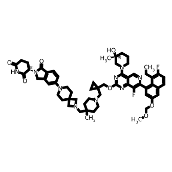 CCc1c(F)ccc2cc(OCOC)cc(-c3ncc4c(N5CCC[C@@](C)(O)C5)nc(OCC5(CN6CCC(C)(CN7CC8(CCN(c9ccc%10c(c9)CN([C@H]9CCC(=O)NC9=O)C%10=O)CC8)C7)CC6)CC5)nc4c3F)c12